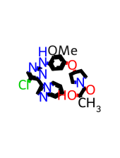 COc1cc(OC2CCN(C(=O)C(C)O)CC2)ccc1Nc1ncc(Cl)c(-c2cnc3ccccn23)n1